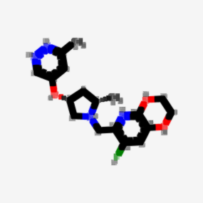 Cc1cc(O[C@@H]2C[C@H](C)N(Cc3nc4c(cc3F)OCCO4)C2)cnn1